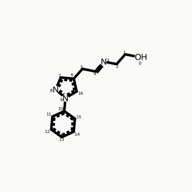 OCC/N=C/Cc1cnn(-c2ccccc2)c1